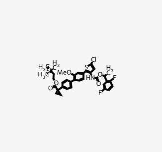 COc1cc(-c2sc(Cl)cc2NC(=O)OC(C)c2cc(F)ccc2F)ccc1-c1ccc(C2(C(=O)OCC[Si](C)(C)C)CC2)cc1